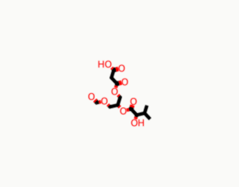 CC(C)C(O)C(=O)OC(COC=O)COC(=O)CC(=O)O